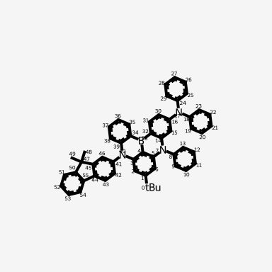 CC(C)(C)c1cc2c3c(c1)N(c1ccccc1)c1cc(N(c4ccccc4)c4ccccc4)ccc1B3c1ccccc1N2c1ccc2c(c1)C(C)(C)c1ccccc1-2